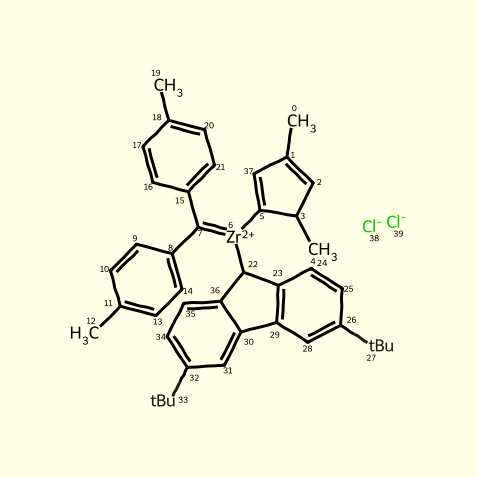 CC1=CC(C)[C]([Zr+2](=[C](c2ccc(C)cc2)c2ccc(C)cc2)[CH]2c3ccc(C(C)(C)C)cc3-c3cc(C(C)(C)C)ccc32)=C1.[Cl-].[Cl-]